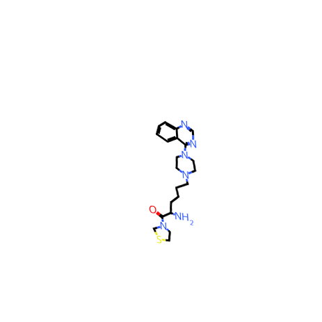 NC(CCCCN1CCN(c2ncnc3ccccc23)CC1)C(=O)N1CCSC1